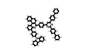 c1ccc(-c2ccc(-c3cc(-c4ccc(-c5nc6c(-c7ccc(-n8c9ccccc9c9ccccc98)cc7)cccc6c6c5ccc5ccccc56)cc4)nc(-c4ccc(-c5ccccc5)cc4)n3)cc2)cc1